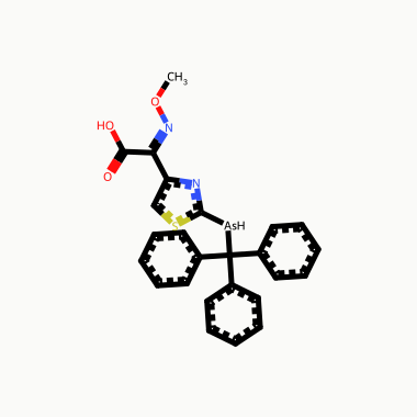 CON=C(C(=O)O)c1csc([AsH]C(c2ccccc2)(c2ccccc2)c2ccccc2)n1